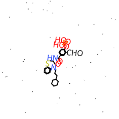 O=Cc1cc(C(=O)NC2CSc3ccccc3N(CCCC3CCCCC3)C2=O)ccc1OP(=O)(O)O